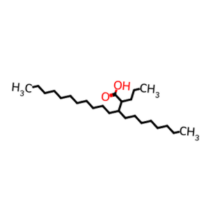 CCCCCCCCCCCC(CCCCCCCC)C(CCC)C(=O)O